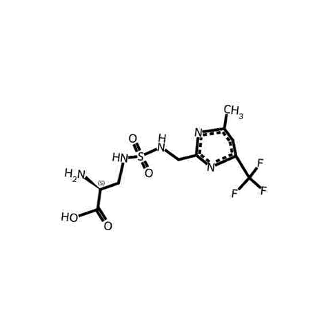 Cc1cc(C(F)(F)F)nc(CNS(=O)(=O)NC[C@H](N)C(=O)O)n1